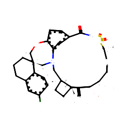 C=C1[C@@H](O)[C@@H](O)CC[C@@H](CC)S(=O)(=O)NC(=O)c2ccc3c(c2)N(C[C@@H]2CC[C@@H]12)C[C@@]1(CCCc2cc(Cl)ccc21)CO3